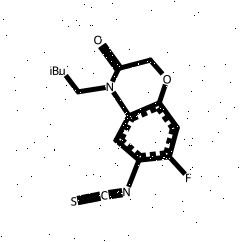 CCC(C)CN1C(=O)COc2cc(F)c(N=C=S)cc21